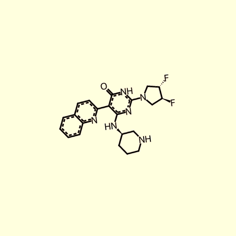 O=c1[nH]c(N2C[C@H](F)[C@@H](F)C2)nc(N[C@@H]2CCCNC2)c1-c1ccc2ccccc2n1